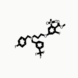 COC(=O)c1c(F)cc(OCCCN(Cc2ccc(F)cc2)Cc2cccc(C(F)(F)F)c2)cc1S(C)(=O)=O